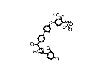 CCC(c1ccc(-c2ccc(Oc3ccc(NS(=O)(=O)CC)c(C(=O)O)c3)cc2)cc1)c1nc(-c2ccc(Cl)cc2Cl)c[nH]1